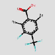 [2H]c1cc(C(F)(F)F)c(F)c([2H])c1C(=O)O